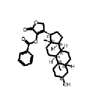 C[C@]12CC[C@H](O)C[C@H]1CC[C@@H]1[C@@H]2CC[C@]2(C)[C@@H](C3=C(OC(=O)c4ccccc4)C(=O)OC3)CC[C@@H]12